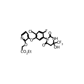 CCOC(=O)COc1ncccc1Oc1cc(N2C(=O)CC(O)(C(F)(F)F)NC2=O)c(F)cc1Cl